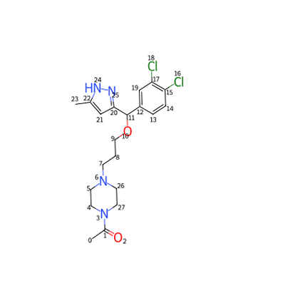 CC(=O)N1CCN(CCCOC(c2ccc(Cl)c(Cl)c2)c2cc(C)[nH]n2)CC1